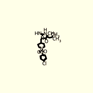 CC(C)CC1(C)NC(=N)N(CC2CCN(S(=O)(=O)c3ccc(Cl)cc3)CC2)C1=O